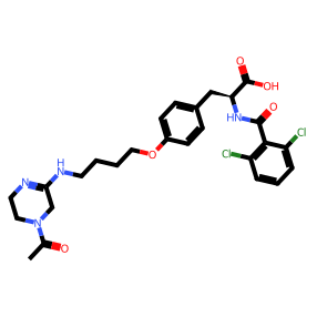 CC(=O)N1CCN=C(NCCCCOc2ccc(C[C@H](NC(=O)c3c(Cl)cccc3Cl)C(=O)O)cc2)C1